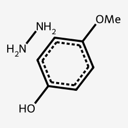 COc1ccc(O)cc1.NN